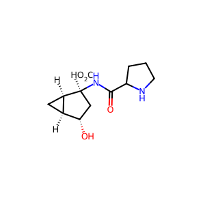 O=C(N[C@@]1(C(=O)O)C[C@H](O)[C@H]2C[C@H]21)C1CCCN1